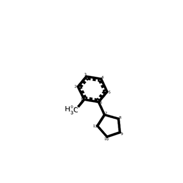 Cc1ccc[c]c1C1CCCC1